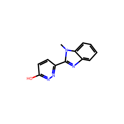 Cn1c(-c2ccc(O)nn2)nc2ccccc21